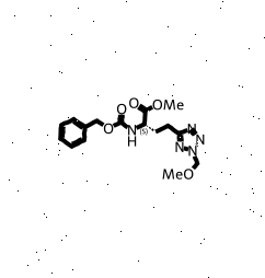 COCn1nnc(CC[C@H](NC(=O)OCc2ccccc2)C(=O)OC)n1